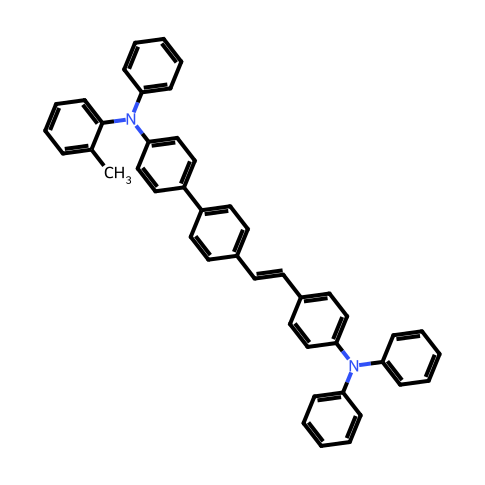 Cc1ccccc1N(c1ccccc1)c1ccc(-c2ccc(/C=C/c3ccc(N(c4ccccc4)c4ccccc4)cc3)cc2)cc1